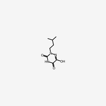 CC(C)CCn1nc(O)c(=O)[nH]c1=O